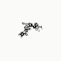 COc1ncc(-c2cc(C(F)(F)F)c3c(N)ncnn23)cc1C(=O)N[C@@H]1CN(C(=O)c2ccc(F)c(F)c2)C[C@@H]1F